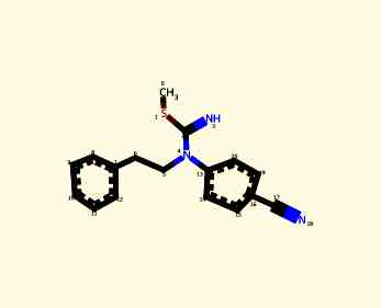 CSC(=N)N(CCc1ccccc1)c1ccc(C#N)cc1